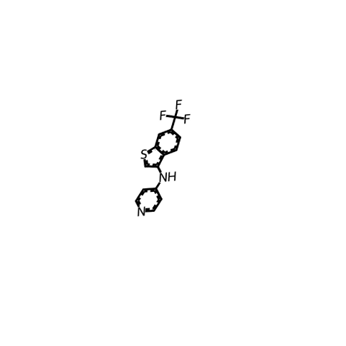 FC(F)(F)c1ccc2c(Nc3ccncc3)csc2c1